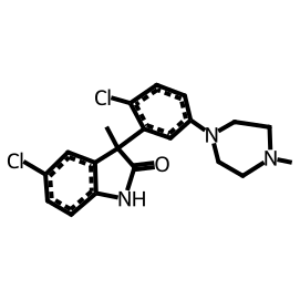 CN1CCN(c2ccc(Cl)c(C3(C)C(=O)Nc4ccc(Cl)cc43)c2)CC1